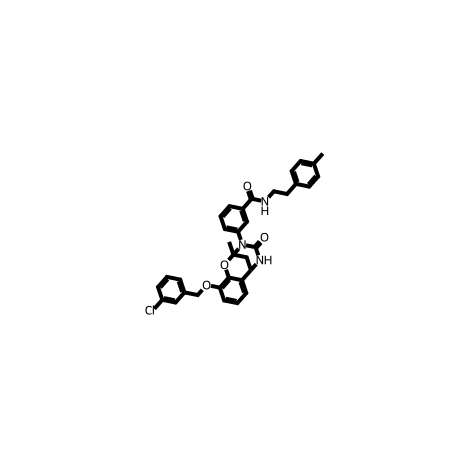 Cc1ccc(CCNC(=O)c2cccc(N3C(=O)NC4CC3(C)Oc3c(OCc5cccc(Cl)c5)cccc34)c2)cc1